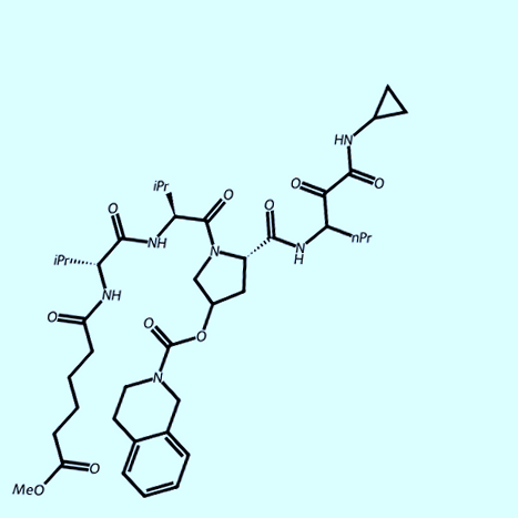 CCCC(NC(=O)[C@@H]1CC(OC(=O)N2CCc3ccccc3C2)CN1C(=O)[C@@H](NC(=O)[C@H](NC(=O)CCCCC(=O)OC)C(C)C)C(C)C)C(=O)C(=O)NC1CC1